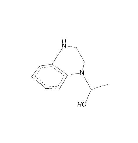 CC(O)N1CCNc2ccccc21